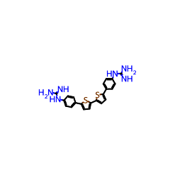 N=C(N)Nc1ccc(-c2ccc(-c3ccc(-c4ccc(NC(=N)N)cc4)s3)s2)cc1